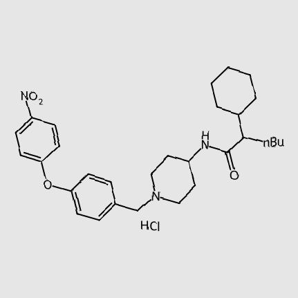 CCCCC(C(=O)NC1CCN(Cc2ccc(Oc3ccc([N+](=O)[O-])cc3)cc2)CC1)C1CCCCC1.Cl